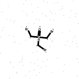 O=[SH](CBr)(CBr)CBr